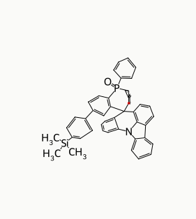 C[Si](C)(C)c1ccc(-c2ccc3c(c2)C2(c4ccccc4-n4c5ccccc5c5cccc2c54)c2ccccc2P3(=O)c2ccccc2)cc1